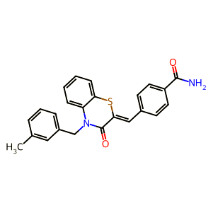 Cc1cccc(CN2C(=O)/C(=C/c3ccc(C(N)=O)cc3)Sc3ccccc32)c1